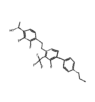 CCCc1ccc(-c2ccc(CCc3ccc(C(C)O)c(F)c3F)c(C(F)(F)F)c2F)cc1